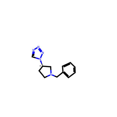 c1ccc(CN2CC[C@@H](n3cnnn3)C2)cc1